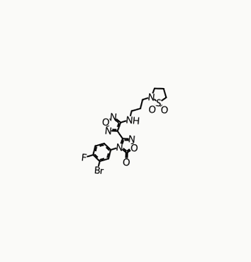 O=c1onc(-c2nonc2NCCCN2CCCS2(=O)=O)n1-c1ccc(F)c(Br)c1